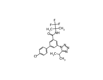 CC(C)c1nnnn1-c1cc(C(=O)NC(C)(C)C(F)(F)F)cc(-c2ccc(Cl)cc2)c1